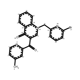 Cc1ccnc(C(=O)c2cn(Cc3cccc(Br)n3)c3ccccc3c2=O)c1